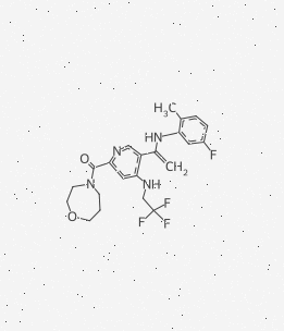 C=C(Nc1cc(F)ccc1C)c1cnc(C(=O)N2CCCOCC2)cc1NCC(F)(F)F